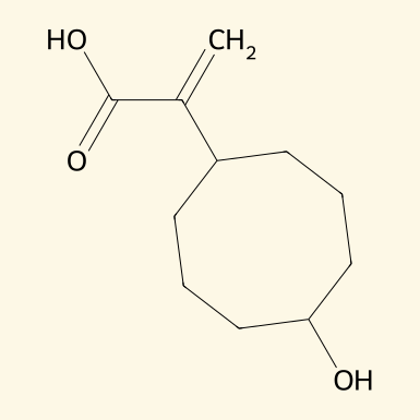 C=C(C(=O)O)C1CCCC(O)CCC1